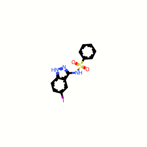 O=S(=O)(Nc1n[nH]c2ccc(I)cc12)c1ccccc1